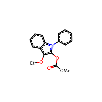 CCOc1c(OC(=O)OC)n(-c2ccccc2)c2ccccc12